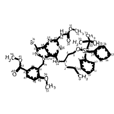 CCC[C@@H](CCO[Si](c1ccccc1)(c1ccccc1)C(C)(C)C)Nc1nc(NC(=O)OC)nc2c(Br)nn(Cc3cc(C(=O)OC)ccc3OC)c12